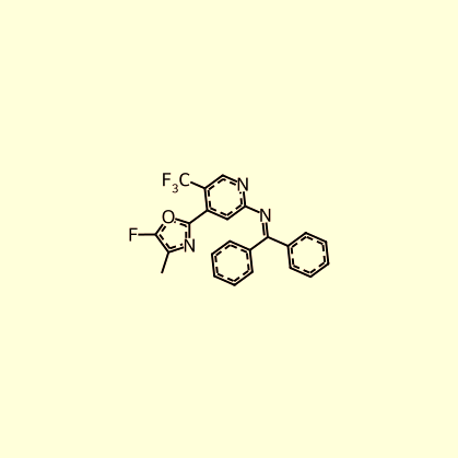 Cc1nc(-c2cc(N=C(c3ccccc3)c3ccccc3)ncc2C(F)(F)F)oc1F